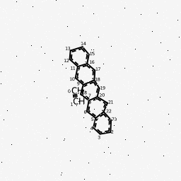 C#C.c1ccc2cc3cc4cc5ccccc5cc4cc3cc2c1